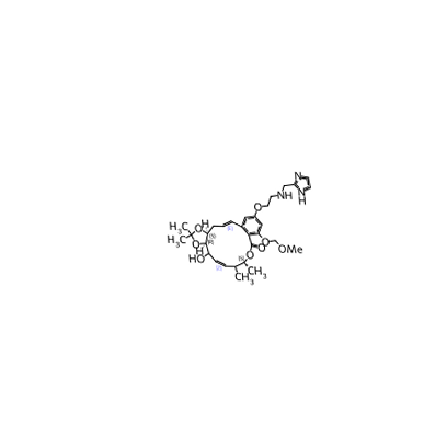 COCOc1cc(OCCNCc2ncc[nH]2)cc2c1C(=O)O[C@@H](C)C(C)/C=C\C(O)[C@H]1OC(C)(C)O[C@H]1C/C=C/2